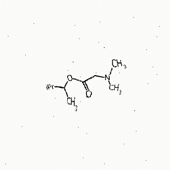 CC(C)C(C)OC(=O)CN(C)C